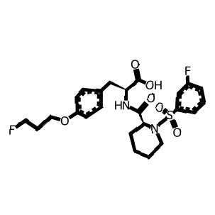 O=C(O)[C@H](Cc1ccc(OCCCF)cc1)NC(=O)[C@@H]1CCCCN1S(=O)(=O)c1cccc(F)c1